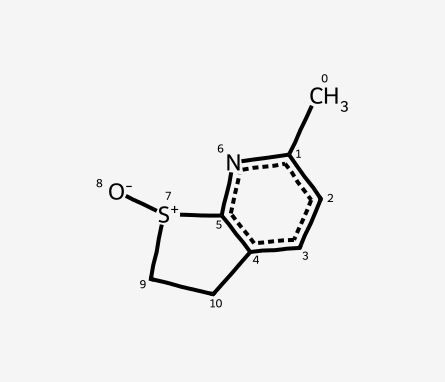 Cc1ccc2c(n1)[S+]([O-])CC2